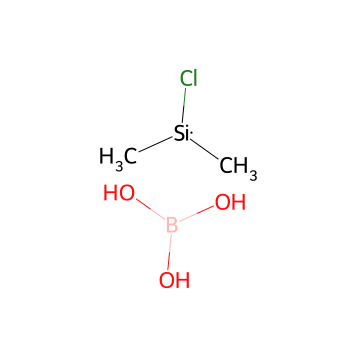 C[Si](C)Cl.OB(O)O